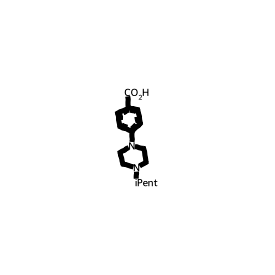 CCCC(C)N1CCN(c2ccc(C(=O)O)cc2)CC1